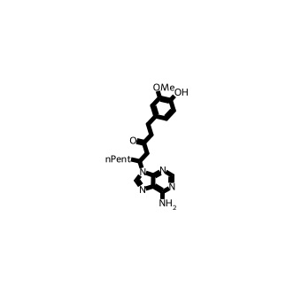 CCCCCC(CC(=O)CCc1ccc(O)c(OC)c1)n1cnc2c(N)ncnc21